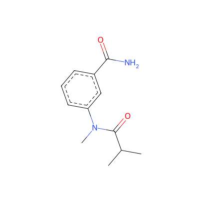 CC(C)C(=O)N(C)c1cccc(C(N)=O)c1